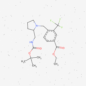 CCOC(=O)c1ccc(CN2CCCC2CNC(=O)OC(C)(C)C)c(C(F)(F)F)c1